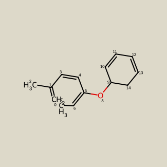 C=C(C)/C=C\C(=C/C)OC1C=CC=CC1